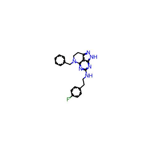 Fc1ccc(CCNc2nc3c4c(n[nH]c4n2)CCN3Cc2ccccc2)cc1